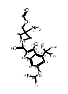 NC1(COC=O)CN(C(=O)c2sc3cc(OC(F)F)cc(C(F)(F)F)c3c2Cl)C1